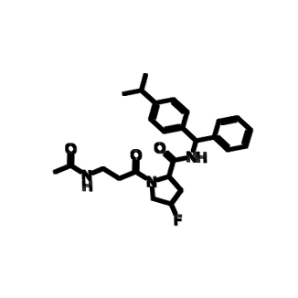 CC(=O)NCCC(=O)N1CC(F)CC1C(=O)NC(c1ccccc1)c1ccc(C(C)C)cc1